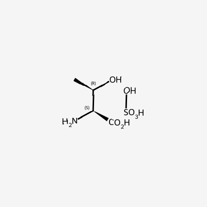 C[C@@H](O)[C@H](N)C(=O)O.O=S(=O)(O)O